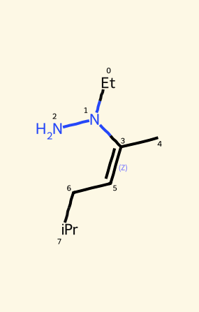 CCN(N)/C(C)=C\CC(C)C